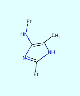 CCNc1nc(CC)[nH]c1C